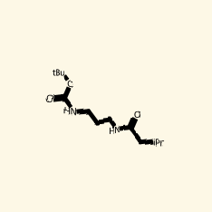 CC(C)CC(=O)NCCCNC(=O)OC(C)(C)C